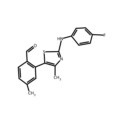 Cc1ccc(C=O)c(-c2sc(Nc3ccc(F)cc3)nc2C)c1